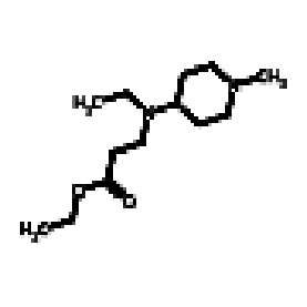 CCOC(=O)CCN(CC)C1CCN(C)CC1